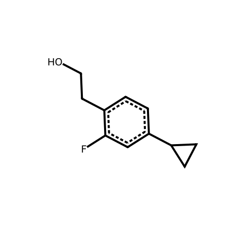 OCCc1ccc(C2CC2)cc1F